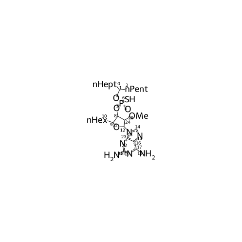 CCCCCCCC(CCCCC)OP(=O)(S)OC1C(CCCCCC)OC(n2cnc3c(N)nc(N)nc32)C1OC